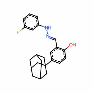 Oc1ccc(C23CC4CC(CC(C4)C2)C3)cc1C=NNc1cccc(F)c1